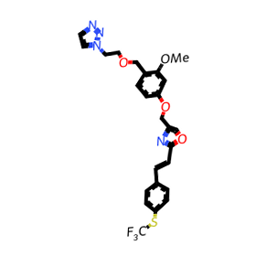 COc1cc(OCc2coc(C=Cc3ccc(SC(F)(F)F)cc3)n2)ccc1COCCn1ccnn1